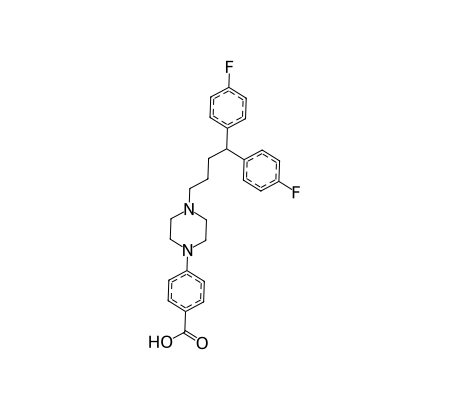 O=C(O)c1ccc(N2CCN(CCCC(c3ccc(F)cc3)c3ccc(F)cc3)CC2)cc1